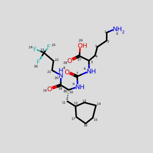 NCCCCC(NC(=O)N[C@H](CC1CCCCC1)C(=O)NCCC(F)(F)F)C(=O)O